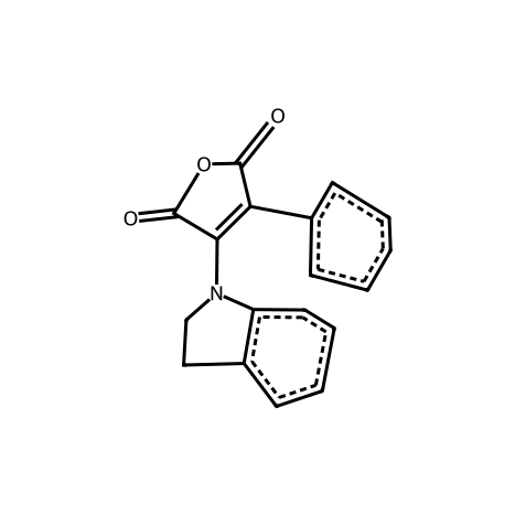 O=C1OC(=O)C(N2CCc3ccccc32)=C1c1ccccc1